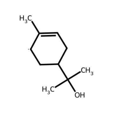 CC1=CCC(C(C)(C)O)C[CH]1